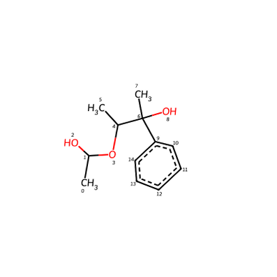 CC(O)OC(C)C(C)(O)c1ccccc1